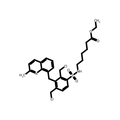 CCOC(=O)CCCCCNS(=O)(=O)c1ccc(CCl)c(Cc2cccc3ccc(C)nc23)c1CCl